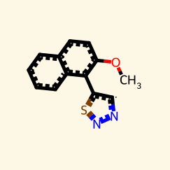 COc1ccc2ccccc2c1-c1[c]nns1